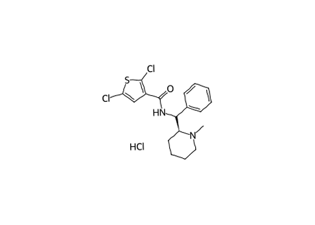 CN1CCCC[C@H]1C(NC(=O)c1cc(Cl)sc1Cl)c1ccccc1.Cl